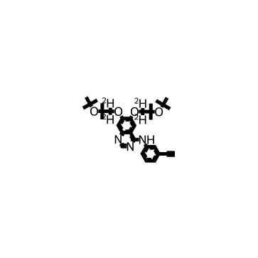 [2H]C([2H])(Oc1cc2ncnc(Nc3cccc(C#C)c3)c2cc1OC([2H])([2H])C(C)(C)OC(C)(C)C)C(C)(C)OC(C)(C)C